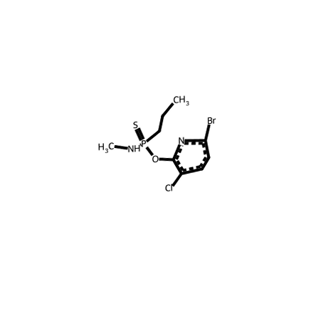 CCCP(=S)(NC)Oc1nc(Br)ccc1Cl